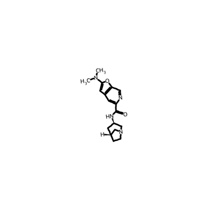 CN(C)c1cc2cc(C(=O)N[C@@H]3C[C@H]4CCN(C4)C3)ncc2o1